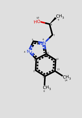 Cc1cc2ncn(C[C@H](C)O)c2cc1C